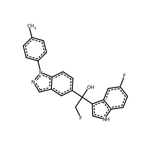 Cc1ccc(-n2ncc3cc(C(O)(CF)c4c[nH]c5ccc(F)cc45)ccc32)cc1